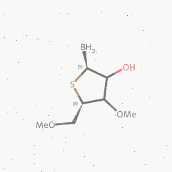 B[C@@H]1S[C@H](COC)C(OC)C1O